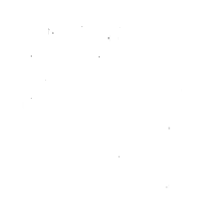 CCOCC=O.FC(F)(F)c1cnccc1OCc1ccccc1